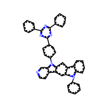 c1ccc(-c2nc(-c3ccccc3)nc(-c3ccc(-n4c5cnccc5c5cc6c(cc54)c4ccccc4n6-c4ccccc4)cc3)n2)cc1